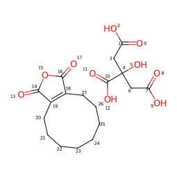 O=C(O)CC(O)(CC(=O)O)C(=O)O.O=C1OC(=O)C2=C1CCCCCCCC2